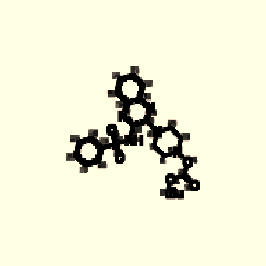 CC(C)(C)OC(=O)ON1CCN(c2nc3ccccc3nc2NS(=O)(=O)c2ccccc2)CC1